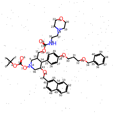 CC(C)(C)OC(=O)ON1CC(COC(=O)NCCN2CCOCC2)C(c2ccc(OCCCOCc3ccccc3)cc2)C(OCc2ccc3ccccc3c2)C1